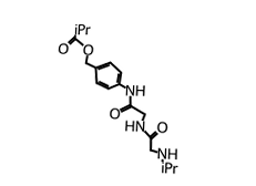 CC(C)NCC(=O)NCC(=O)Nc1ccc(COC(=O)C(C)C)cc1